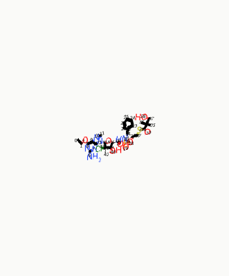 CCOc1nc(N)nc2c1ncn2[C@@H]1O[C@H](CO[P@@](=O)(NCc2ccccc2)OCCSC(=O)C(C)(C)CO)[C@@H](O)[C@@]1(C)Cl